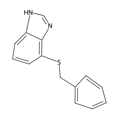 c1ccc(CSc2cccc3[nH]cnc23)cc1